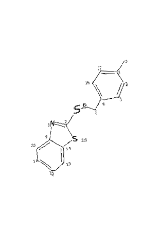 Cc1ccc(CSc2nc3ccccc3s2)cc1